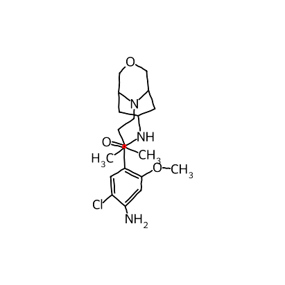 COc1cc(N)c(Cl)cc1C(=O)NC1CC2COCC(C1)N2CCC(C)C